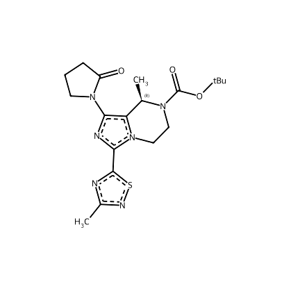 Cc1nsc(-c2nc(N3CCCC3=O)c3n2CCN(C(=O)OC(C)(C)C)[C@@H]3C)n1